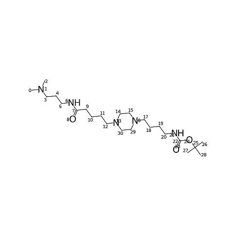 CN(C)CCCNC(=O)CCCCN1CCN(CCCCNC(=O)OC(C)(C)C)CC1